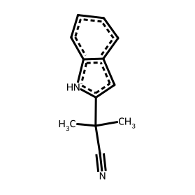 CC(C)(C#N)c1cc2ccccc2[nH]1